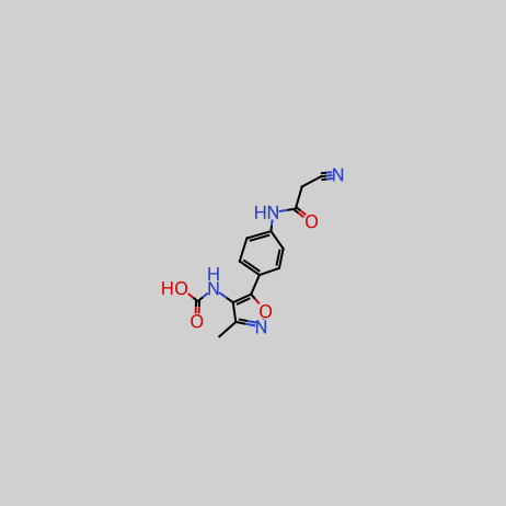 Cc1noc(-c2ccc(NC(=O)CC#N)cc2)c1NC(=O)O